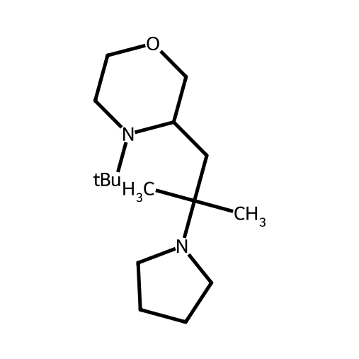 CC(C)(C)N1CCOCC1CC(C)(C)N1CCCC1